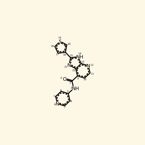 O=C(Nc1ccncc1)c1ccnc2[nH]c(-c3ccsc3)nc12